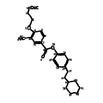 CCCCCCCCCCCCOc1ccc(C(=O)Oc2ccc(CCC3CC[CH]CC3)cc2)cc1C#N